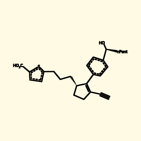 C#CC1=C(c2ccc([C@@H](O)CCCCC)cc2)[C@@H](CCCc2ccc(C(=O)O)s2)CC1